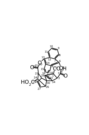 O=C(O)C1C2C(=O)Oc3c4ccccc4c(c4ccccc34)OC(=O)C3C(C(=O)O)C4C=CC3C43C1C=CC23